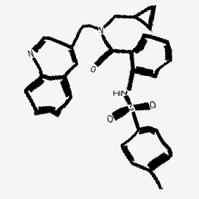 Cc1ccc(S(=O)(=O)Nc2ccccc2C(=O)N(Cc2cnc3ccccc3c2)CC2CC2)cc1